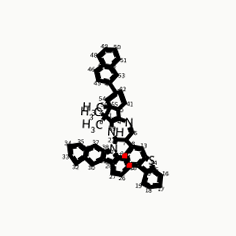 CC1(C)C2=C(N=CC(c3ccc4c(c3)sc3ccccc34)C(n3c4ccccc4c4cc5ccccc5cc43)N2)C2C=CC(c3ccc4ccccc4c3)=CC21C